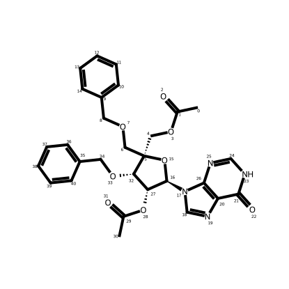 CC(=O)OC[C@]1(COCc2ccccc2)O[C@@H](n2cnc3c(=O)[nH]cnc32)[C@H](OC(C)=O)[C@@H]1OCc1ccccc1